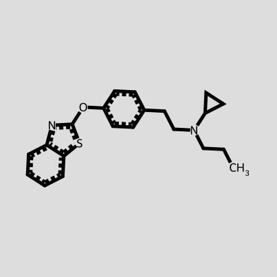 CCCN(CCc1ccc(Oc2nc3ccccc3s2)cc1)C1CC1